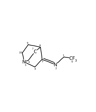 FC(F)(F)C/N=C1/CN2CCC1CC2